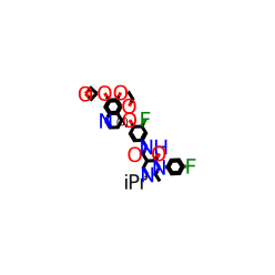 CC(C)N1CC(C(=O)NC2=CC(F)C(O[C@H]3CC=Nc4cc(OC5COC5)c5c(c43)OCCO5)C=C2)C(=O)N(c2ccc(F)cc2)C1C